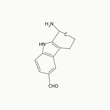 NC1CCCc2c1[nH]c1ccc(C=O)cc21